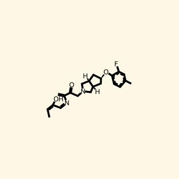 C=C(/N=C\C(O)=C/C)C(=O)CN1C[C@H]2C[C@H](Oc3ccc(C)cc3F)C[C@H]2C1